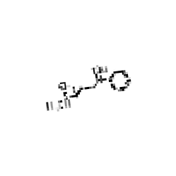 C[SiH](C)C=CCN(c1ccccc1)C(C)(C)C